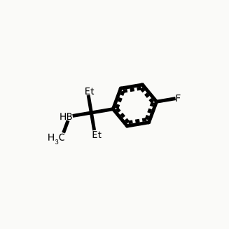 CBC(CC)(CC)c1ccc(F)cc1